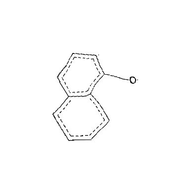 [O]c1[c]ccc2ccccc12